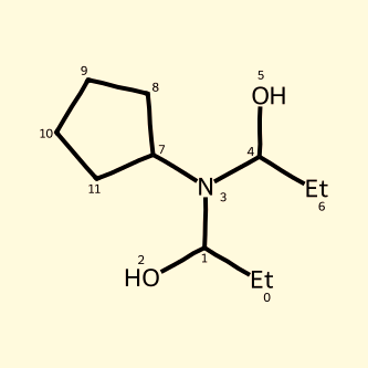 CCC(O)N(C(O)CC)C1CCCC1